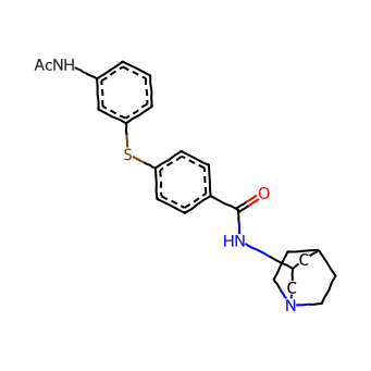 CC(=O)Nc1cccc(Sc2ccc(C(=O)NC3CC4CCN(CC4)C3)cc2)c1